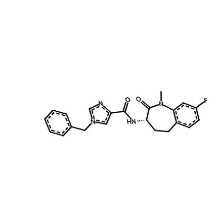 CN1C(=O)[C@@H](NC(=O)c2cn(Cc3ccccc3)cn2)CCc2ccc(F)cc21